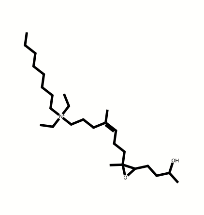 CCCCCCCC[N+](CC)(CC)CCC/C(C)=C\CCC1(C)OC1CCC(C)O